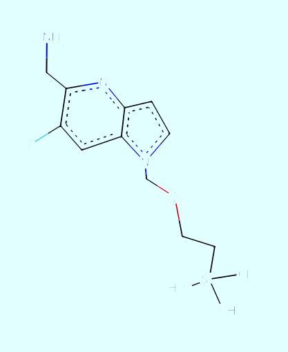 C[Si](C)(C)CCOCn1ccc2nc(CN)c(F)cc21